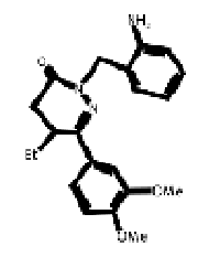 CCC1CC(=O)N(Cc2ccccc2N)N=C1c1ccc(OC)c(OC)c1